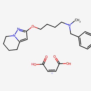 CN(CCCCOc1cc2n(n1)CCCC2)Cc1ccccc1.O=C(O)/C=C\C(=O)O